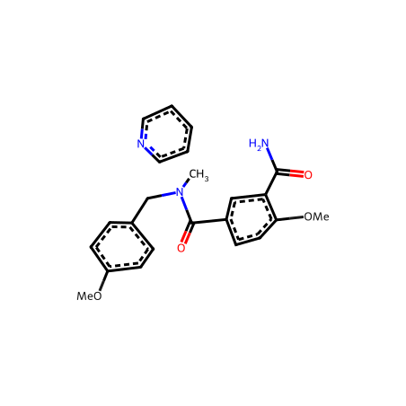 COc1ccc(CN(C)C(=O)c2ccc(OC)c(C(N)=O)c2)cc1.c1ccncc1